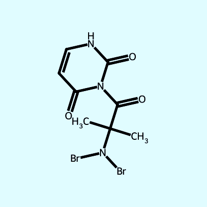 CC(C)(C(=O)n1c(=O)cc[nH]c1=O)N(Br)Br